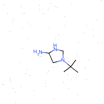 CC(C)(C)N1CNC(N)C1